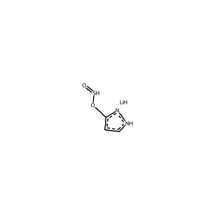 O=[SH]Oc1cc[nH]n1.[LiH]